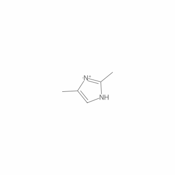 CC1=CNC(C)=[N+]1